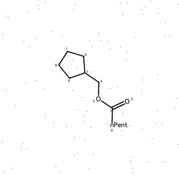 [CH2]CCCCC(=O)OCC1CCCC1